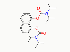 CC(C)N(C(=O)Oc1cccc2cccc(OC(=O)N(C(C)C)C(C)C)c12)C(C)C